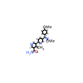 CON=C(c1ccc(OC)cc1)c1ccc(-c2cncc(C(N)=O)c2C)nc1